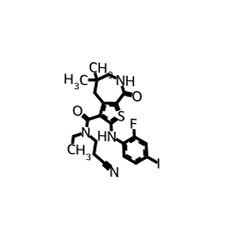 CCN(CCC#N)C(=O)c1c(Nc2ccc(I)cc2F)sc2c1CC(C)(C)CNC2=O